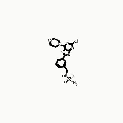 CS(=O)(=O)NCc1cccc(-c2nc3c(N4CCOCC4)nc(Cl)nc3s2)c1